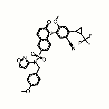 COc1ccc(CN(c2ccon2)S(=O)(=O)c2ccc3c(ccc(=O)n3-c3cc(C#N)c([C@@H]4C[C@H]4C(F)(F)F)cc3OC)c2)cc1